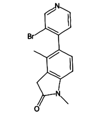 Cc1c(-c2ccncc2Br)ccc2c1CC(=O)N2C